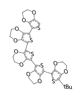 CC(C)(C)c1sc(-c2sc(-c3sc(-c4sc(-c5scc6c5OCCO6)c5c4OCCO5)c4c3OCCO4)c3c2OCCO3)c2c1OCCO2